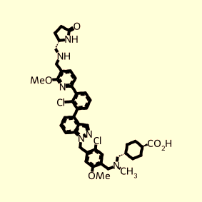 COc1cc(Cn2ncc3c(-c4cccc(-c5ccc(CNC[C@@H]6CCC(=O)N6)c(OC)n5)c4Cl)cccc32)c(Cl)cc1CN(C)C[C@H]1CC[C@H](C(=O)O)CC1